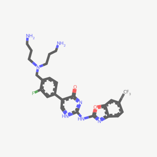 NCCCN(CCCN)Cc1ccc(-c2c[nH]c(Nc3nc4ccc(C(F)(F)F)cc4o3)nc2=O)cc1F